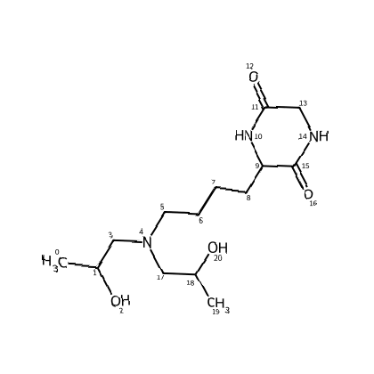 CC(O)CN(CCCCC1NC(=O)CNC1=O)CC(C)O